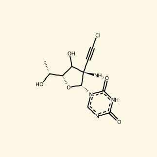 C[C@@H](O)[C@H]1O[C@@H](n2cnc(=O)[nH]c2=O)[C@@](N)(C#CCl)C1O